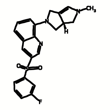 CN1C=C2CN(c3cccc4cc(S(=O)(=O)c5cccc(F)c5)cnc34)C[C@H]2C1